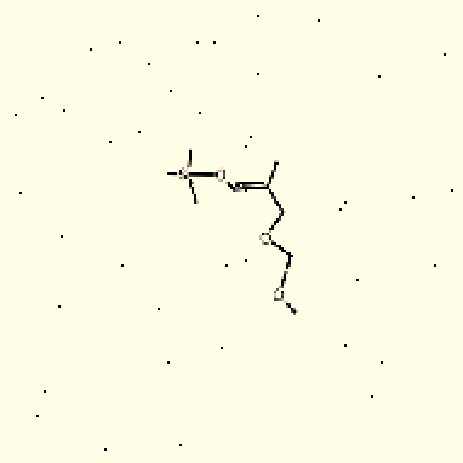 COCOCC(C)=CO[Si](C)(C)C